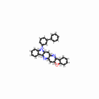 c1ccc(-c2cccc(-n3c4ccccc4c4nc5cc6oc7ccccc7c6nc5cc43)c2)cc1